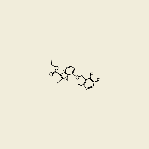 CCOC(=O)c1c(C)nc2c(OCc3c(F)ccc(F)c3F)cccn12